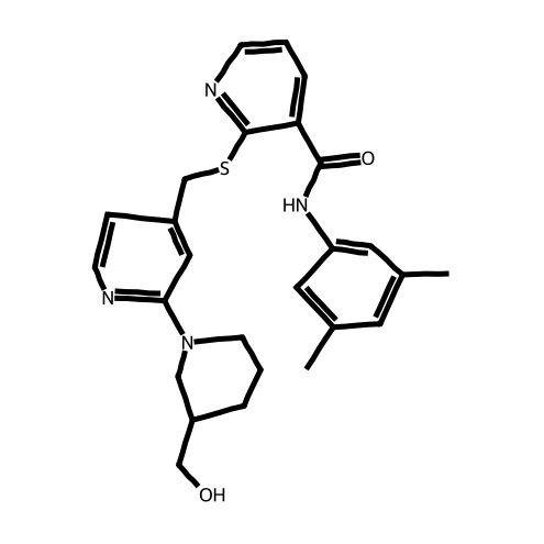 Cc1cc(C)cc(NC(=O)c2cccnc2SCc2ccnc(N3CCCC(CO)C3)c2)c1